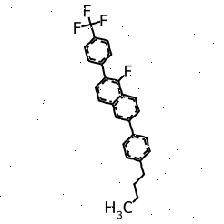 CCCCc1ccc(-c2ccc3c(F)c(-c4ccc(C(F)(F)F)cc4)ccc3c2)cc1